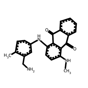 CNc1ccc(Nc2ccc(C)c(CN)c2)c2c1C(=O)c1ccccc1C2=O